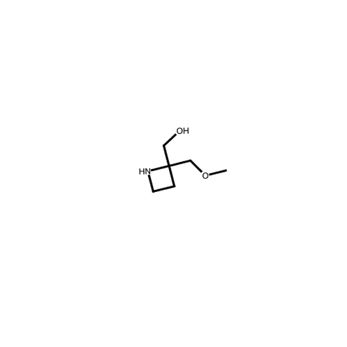 COCC1(CO)CCN1